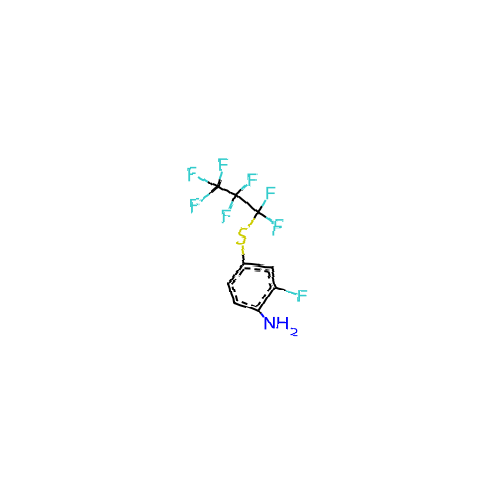 Nc1ccc(SC(F)(F)C(F)(F)C(F)(F)F)cc1F